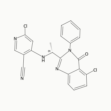 C[C@@H](Nc1cc(Cl)ncc1C#N)c1nc2cccc(Cl)c2c(=O)n1-c1ccccc1